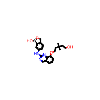 CC(C)(CCO)CCOc1cccc2cnc(Nc3ccc4c(c3)B(O)OC4)nc12